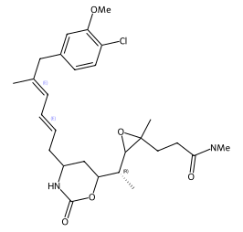 CNC(=O)CCC1(C)OC1[C@H](C)C1CC(C/C=C/C=C(\C)Cc2ccc(Cl)c(OC)c2)NC(=O)O1